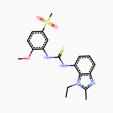 CCn1c(C)nc2cccc(NC(=S)Nc3cc(S(C)(=O)=O)ccc3OC)c21